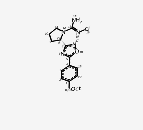 CCCCCCCCc1ccc(-c2nc([C@@H]3CCCN3C(N)=NCl)no2)cc1